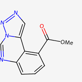 COC(=O)c1cccc2ncn3nncc3c12